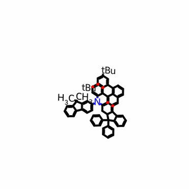 CC(C)(C)c1cc(-c2cccc3cccc(-c4ccccc4N(C4=CC=C5c6ccccc6C(c6ccccc6)(c6ccccc6)C5C4)c4ccc5c(c4)C(C)(C)c4ccccc4-5)c23)cc(C(C)(C)C)c1